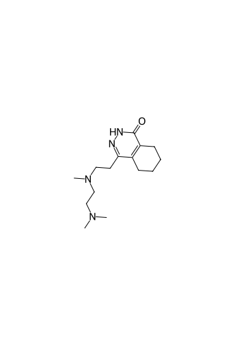 CN(C)CCN(C)CCc1n[nH]c(=O)c2c1CCCC2